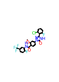 COc1cc(-n2nc(-c3c(F)cccc3Cl)[nH]c2=O)ccc1C(=O)Nc1cc(C(F)(F)F)ccc1F